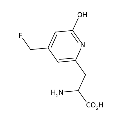 NC(Cc1cc(CF)cc(O)n1)C(=O)O